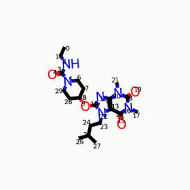 CCNC(=O)N1CCC(Oc2nc3c(c(=O)n(C)c(=O)n3C)n2CCC(C)C)CC1